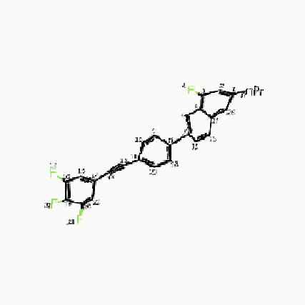 CCCc1cc(F)c2cc(-c3ccc(C#Cc4cc(F)c(F)c(F)c4)cc3)ccc2c1